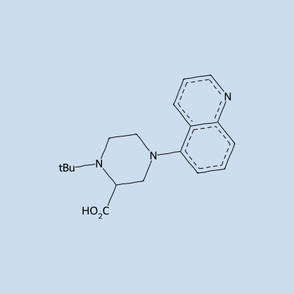 CC(C)(C)N1CCN(c2cccc3ncccc23)CC1C(=O)O